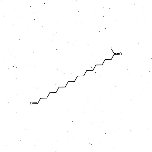 O=CCCCCCCCCCCCCCCCCC(=O)I